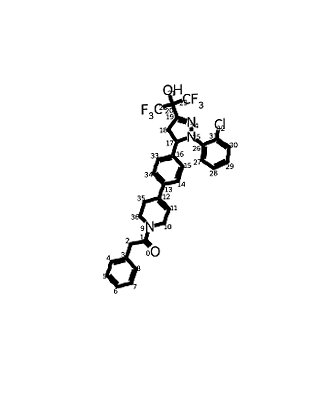 O=C(Cc1ccccc1)N1CC=C(c2ccc(C3CC(C(O)(C(F)(F)F)C(F)(F)F)=NN3c3ccccc3Cl)cc2)CC1